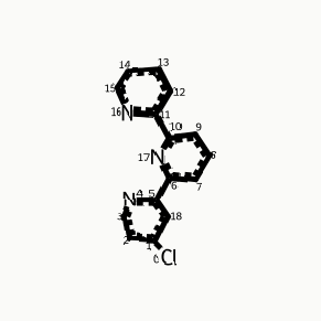 Clc1ccnc(-c2cccc(-c3ccccn3)n2)c1